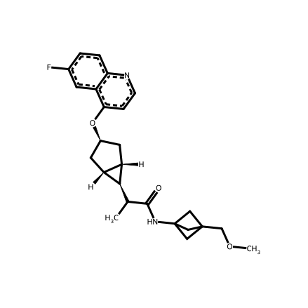 COCC12CC(NC(=O)C(C)[C@H]3[C@@H]4C[C@@H](Oc5ccnc6ccc(F)cc56)C[C@@H]43)(C1)C2